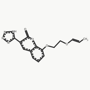 CC=COCCOc1cccc2cc(-c3nnn[nH]3)c(=O)oc12